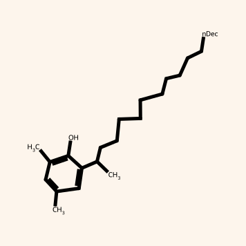 CCCCCCCCCCCCCCCCCCCCC(C)c1cc(C)cc(C)c1O